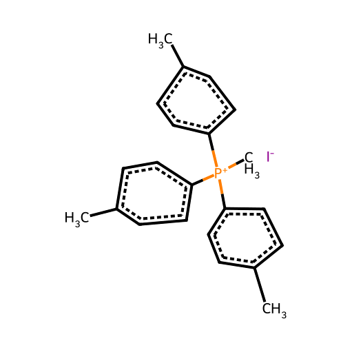 Cc1ccc([P+](C)(c2ccc(C)cc2)c2ccc(C)cc2)cc1.[I-]